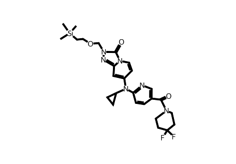 C[Si](C)(C)CCOCn1nc2cc(N(c3ccc(C(=O)N4CCC(F)(F)CC4)cn3)C3CC3)ccn2c1=O